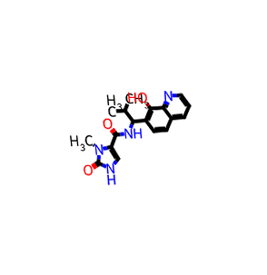 CC(C)C(NC(=O)c1c[nH]c(=O)n1C)c1ccc2cccnc2c1O